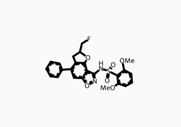 COc1cccc(OC)c1S(=O)(=O)Nc1noc2cc(-c3ccccc3)c3c(c12)OC(CF)C3